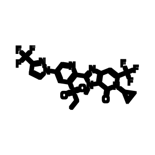 CCS(=O)(=O)c1cc(-n2ccc(C(F)(F)F)n2)cnc1-c1nc2cc(C(F)(F)F)n(C3CC3)c(=O)c2n1C